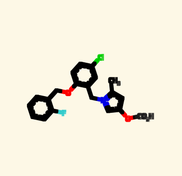 Cc1cc(OC(=O)O)cn1Cc1cc(Cl)ccc1OCc1ccccc1F